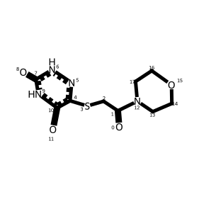 O=C(CSc1n[nH]c(=O)[nH]c1=O)N1CCOCC1